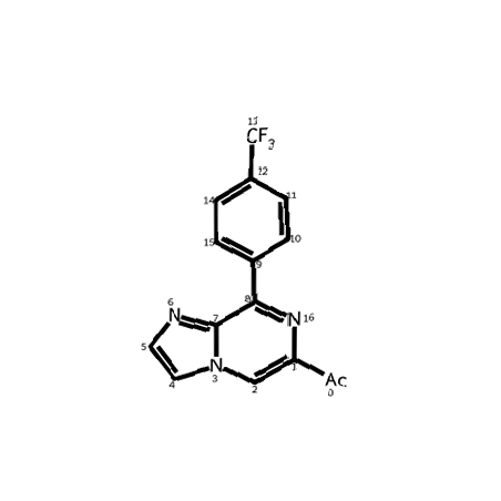 CC(=O)c1cn2ccnc2c(-c2ccc(C(F)(F)F)cc2)n1